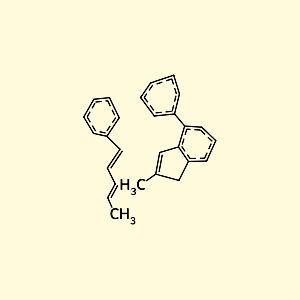 CC1=Cc2c(cccc2-c2ccccc2)C1.CC=CC=Cc1ccccc1